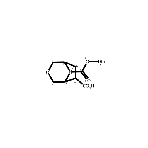 CC(C)(C)OC(=O)N1C2COCC1C(C(=O)O)C2